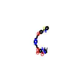 COc1cc2c(cc1OCCCCN1CCN(CCCCOc3ccc(-c4nc5ccccc5s4)cc3)CC1)N=C[C@@H]1CCCN1C2=O